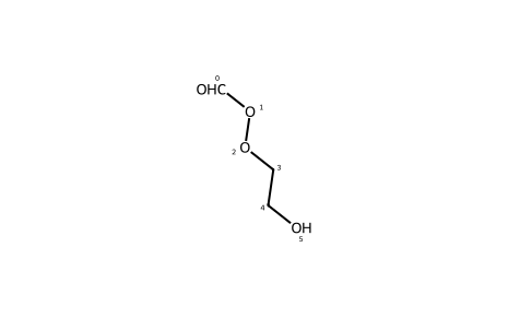 O=COOCCO